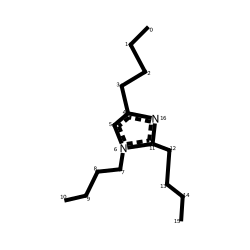 CCCCc1cn(CCCC)c(CCCC)n1